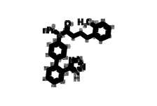 CCCN(C(=O)CCCc1ccccc1C)c1ccc(-c2ccccc2-c2nnn[nH]2)cc1